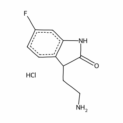 Cl.NCCC1C(=O)Nc2cc(F)ccc21